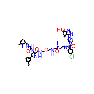 CCc1cccc(-c2cnc(C(=O)NCCOCCNCC(=O)NCCNC[C@@H](C(=O)N3CCN(c4ncnc5c4[C@H](C)C[C@H]5O)CC3)c3ccc(Cl)cc3)c(NC(=O)CNCc3cccc(C)c3)c2)c1